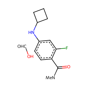 CNC(=O)c1ccc(NC2CCC2)cc1F.O=CO